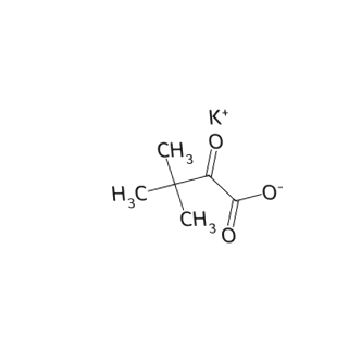 CC(C)(C)C(=O)C(=O)[O-].[K+]